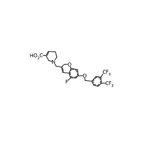 O=C(O)C1=CCCN(CC2=Cc3c(F)cc(OCc4ccc(C(F)(F)F)c(C(F)(F)F)c4)cc3OC2)C1